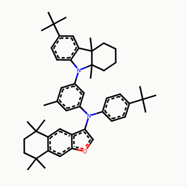 Cc1cc(N(c2ccc(C(C)(C)C)cc2)c2coc3cc4c(cc23)C(C)(C)CCC4(C)C)cc(N2c3ccc(C(C)(C)C)cc3C3(C)CCCCC23C)c1